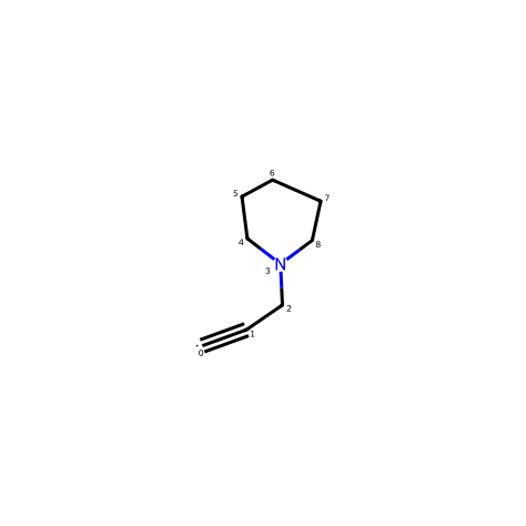 [C]#CCN1CCCCC1